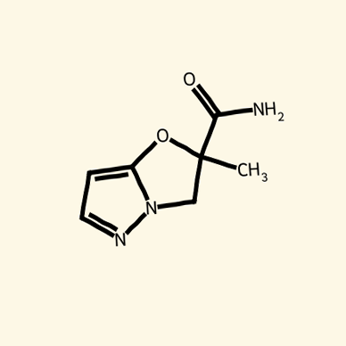 CC1(C(N)=O)Cn2nccc2O1